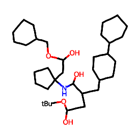 CC(C)(C)OC(O)CC(CC1CCC(C2CCCCC2)CC1)C(O)NC1(CC(O)OCC2CCCCC2)CCCC1